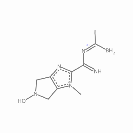 B/C(C)=N\C(=N)c1nc2c(n1C)CN(O)C2